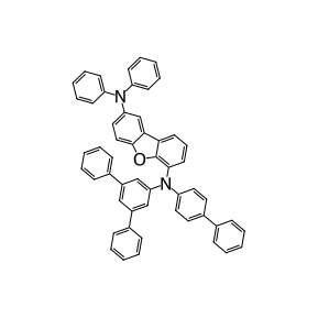 c1ccc(-c2ccc(N(c3cc(-c4ccccc4)cc(-c4ccccc4)c3)c3cccc4c3oc3ccc(N(c5ccccc5)c5ccccc5)cc34)cc2)cc1